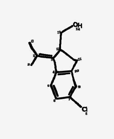 CC(C)=C1c2ccc(Cl)cc2CC1CO